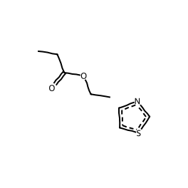 CCOC(=O)CC.c1cscn1